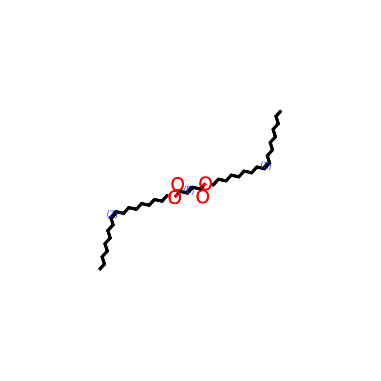 CCCCCCCC/C=C\CCCCCCCCOC(=O)/C=C/C(=O)OCCCCCCCC/C=C\CCCCCCCC